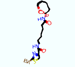 O=C(CCCCCCNC(=O)c1csc(Br)n1)NOC1CCCCO1